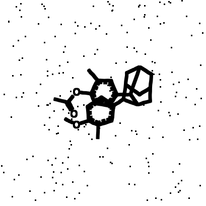 COc1ccc(C2C3CC4CC(C3)C(c3ccc(OC(C)=O)c(C)c3)C2C4)cc1C